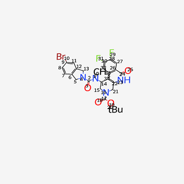 CN(C(=O)N1Cc2ccc(Br)cc2C1)C1CN(C(=O)OC(C)(C)C)Cc2[nH]c(=O)c3cc(F)c(F)cc3c21